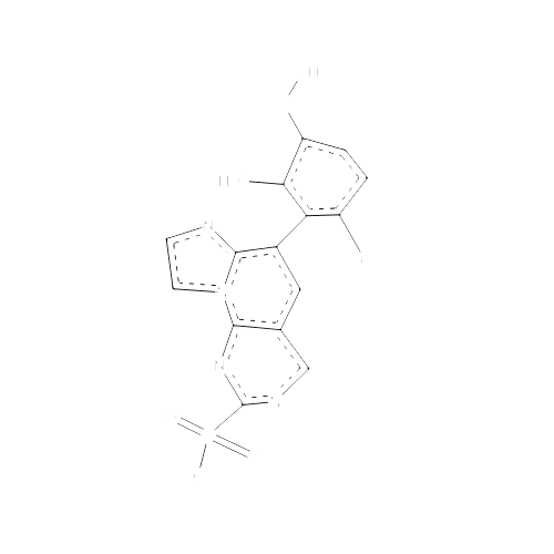 COc1ccc(C)c(-c2cc3cnc(S(C)(=O)=O)nc3n3ccnc23)c1C